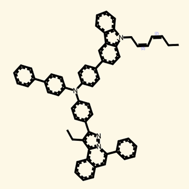 CC/C=C\C=C/Cn1c2ccccc2c2cc(-c3ccc(N(c4ccc(-c5ccccc5)cc4)c4ccc(-c5nn6c(-c7ccccc7)cc7ccccc7c6c5CC)cc4)cc3)ccc21